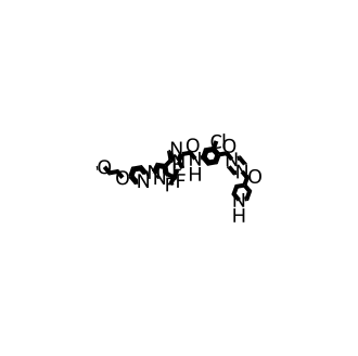 COCCOc1ccc(-n2cc(-c3cnc(C(=O)Nc4ccc(C(=O)N5CCN(C(=O)C6CCNCC6)CC5)c(Cl)c4)n3C)c(C(F)(F)F)n2)nc1